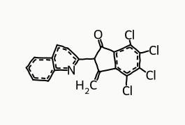 C=C1c2c(Cl)c(Cl)c(Cl)c(Cl)c2C(=O)C1c1ccc2ccccc2n1